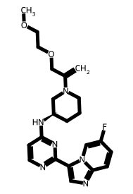 C=C(COCCOC)N1CCC[C@@H](Nc2ccnc(-c3cnc4ccc(F)cn34)n2)C1